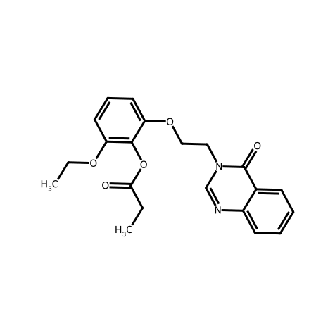 CCOc1cccc(OCCn2cnc3ccccc3c2=O)c1OC(=O)CC